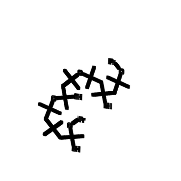 CC(C)OC(C)(C)CC(C)(S)CC(C)(C)OC(C)(C)CC(C)(S)OC(C)(C)CC(C)(C)CC(C)(S)OC(C)C